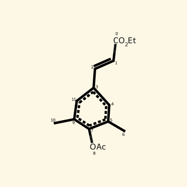 CCOC(=O)/C=C/c1cc(C)c(OC(C)=O)c(C)c1